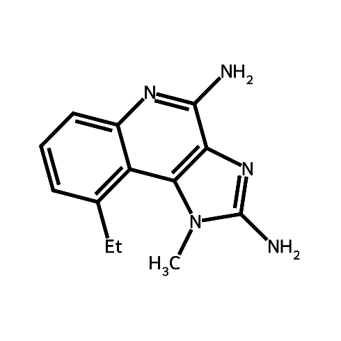 CCc1cccc2nc(N)c3nc(N)n(C)c3c12